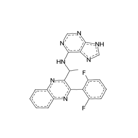 CC(Nc1ncnc2[nH]cnc12)c1nc2ccccc2nc1-c1c(F)cccc1F